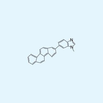 Cn1cnc2ccc(-c3ccc4c(ccc5c6ccccc6ccc45)c3)cc21